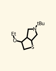 CCOC1CSC2CN(C(C)(C)C)CC12